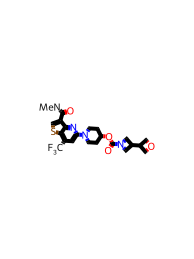 CNC(=O)c1csc2c(C(F)(F)F)cc(N3CCC(OC(=O)N4CC(C5COC5)C4)CC3)nc12